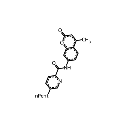 CCCCCc1ccc(C(=O)Nc2ccc3c(C)cc(=O)oc3c2)nc1